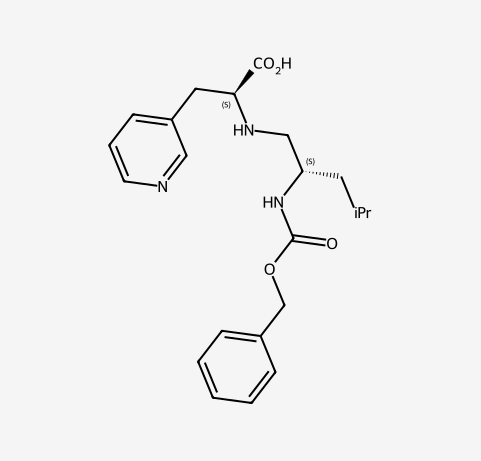 CC(C)C[C@@H](CN[C@@H](Cc1cccnc1)C(=O)O)NC(=O)OCc1ccccc1